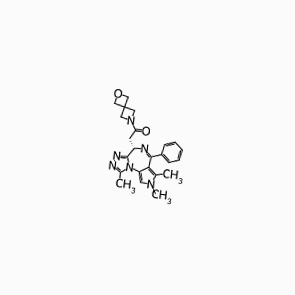 Cc1c2c(cn1C)-n1c(C)nnc1[C@H](CC(=O)N1CC3(COC3)C1)N=C2c1ccccc1